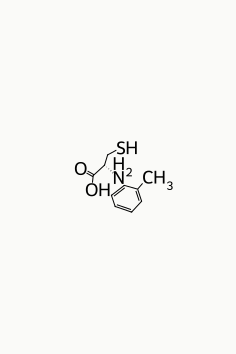 Cc1ccccc1.N[C@@H](CS)C(=O)O